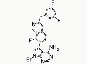 CCn1cc(-c2ccc3cc(Cc4cc(F)cc(F)c4)ncc3c2F)c2c(N)ncnc21